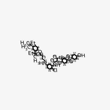 CCC(C)(C)c1ccc(OCCCCNc2ccc(Cl)c(NC(=O)C(Oc3ccc(S(=O)(=O)c4ccc(O)cc4)cc3)C(=O)C(C)(C)C)c2)c(C(C)(C)CC)c1